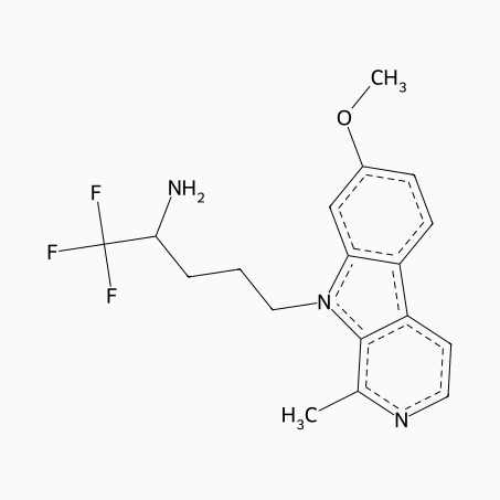 COc1ccc2c3ccnc(C)c3n(CCCC(N)C(F)(F)F)c2c1